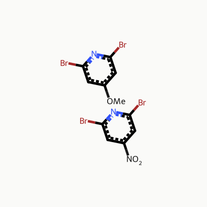 COc1cc(Br)nc(Br)c1.O=[N+]([O-])c1cc(Br)nc(Br)c1